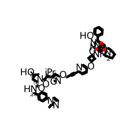 Cc1nccn1-c1ccc([C@H](C)NC(=O)[C@@H]2C[C@@H](O)CN2C(=O)[C@@H](c2cc(OCC#Cc3ccc(O[C@H]4C[C@H](Oc5cc(N6C7CCC6CN(c6cc(-c8ccccc8O)nnc6N)C7)ccn5)C4)cn3)no2)C(C)C)cc1